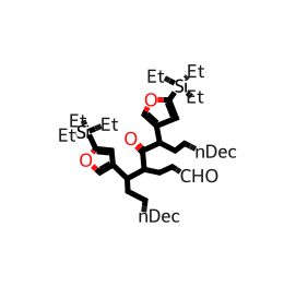 CCCCCCCCCCCCC(C(=O)C(CCC=O)C(CCCCCCCCCCCC)c1coc([Si](CC)(CC)CC)c1)c1coc([Si](CC)(CC)CC)c1